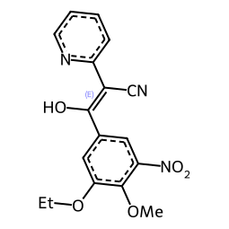 CCOc1cc(/C(O)=C(\C#N)c2ccccn2)cc([N+](=O)[O-])c1OC